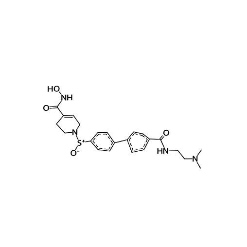 CN(C)CCNC(=O)c1ccc(-c2ccc([S+]([O-])N3CC=C(C(=O)NO)CC3)cc2)cc1